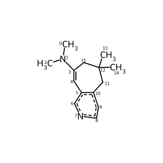 CN(C)C1=Cc2cnccc2CC(C)(C)C1